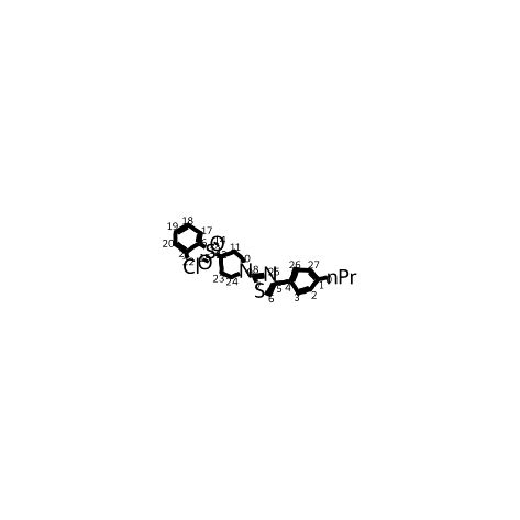 CCCc1ccc(-c2csc(N3CCC(S(=O)(=O)c4ccccc4Cl)CC3)n2)cc1